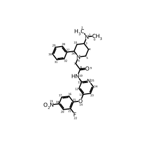 CN(C)C1CCN(CC(=O)Nc2cc(Oc3ccc([N+](=O)[O-])cc3F)ccn2)C(c2ccccc2)C1